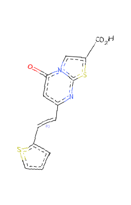 O=C(O)c1cn2c(=O)cc(/C=C/c3cccs3)nc2s1